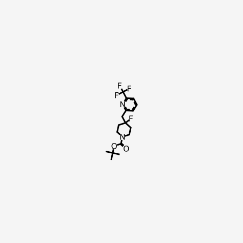 CC(C)(C)OC(=O)N1CCC(F)(Cc2cccc(C(F)(F)F)n2)CC1